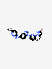 CC(=O)c1ccc(-n2cnc3cc(Nc4ccc(C)nn4)ccc32)nc1-n1nc(Br)cc1C